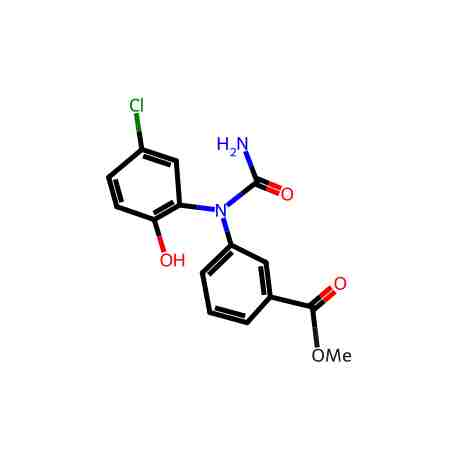 COC(=O)c1cccc(N(C(N)=O)c2cc(Cl)ccc2O)c1